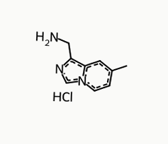 Cc1ccn2cnc(CN)c2c1.Cl